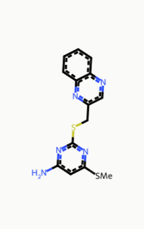 CSc1cc(N)nc(SCc2cnc3ccccc3n2)n1